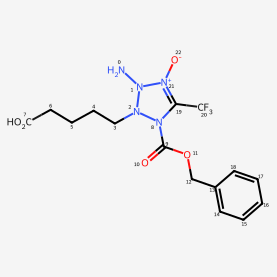 NN1N(CCCCC(=O)O)N(C(=O)OCc2ccccc2)C(C(F)(F)F)=[N+]1[O-]